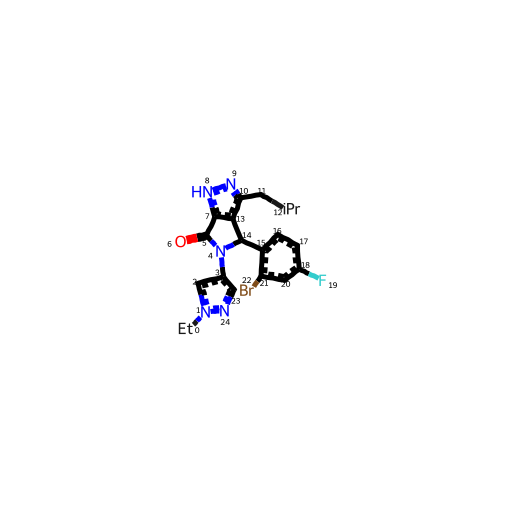 CCn1cc(N2C(=O)c3[nH]nc(CC(C)C)c3C2c2ccc(F)cc2Br)cn1